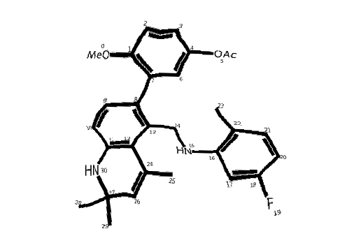 COc1ccc(OC(C)=O)cc1-c1ccc2c(c1CNc1cc(F)ccc1C)C(C)=CC(C)(C)N2